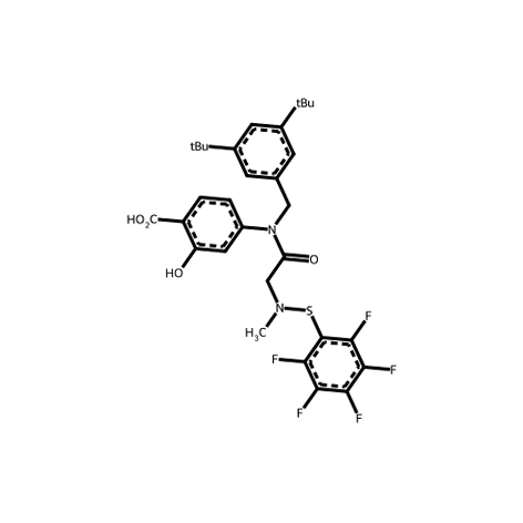 CN(CC(=O)N(Cc1cc(C(C)(C)C)cc(C(C)(C)C)c1)c1ccc(C(=O)O)c(O)c1)Sc1c(F)c(F)c(F)c(F)c1F